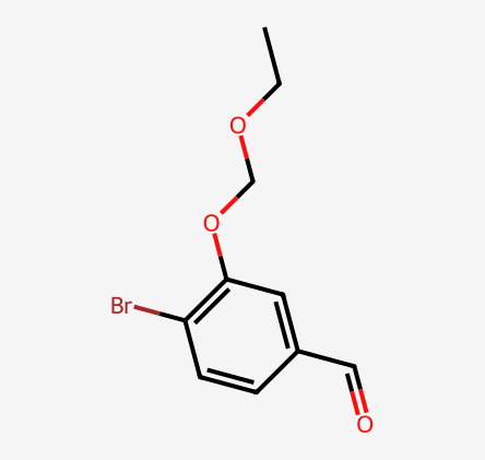 CCOCOc1cc(C=O)ccc1Br